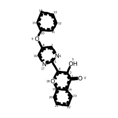 O=c1c(O)c(-c2ncc(Oc3ccccc3)cn2)oc2ccccc12